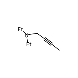 CC#CCN(CC)CC